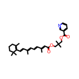 CC1=C(/C=C/C(C)=C/C=C/C(C)=C/C(=O)OCC(C)(C)COC(=O)c2cccnc2)C(C)(C)CCC1